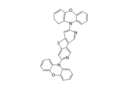 C1=CC2=C(CC1)N(c1cc3sc4cc(N5c6ccccc6Oc6ccccc65)ncc4c3cn1)c1ccccc1O2